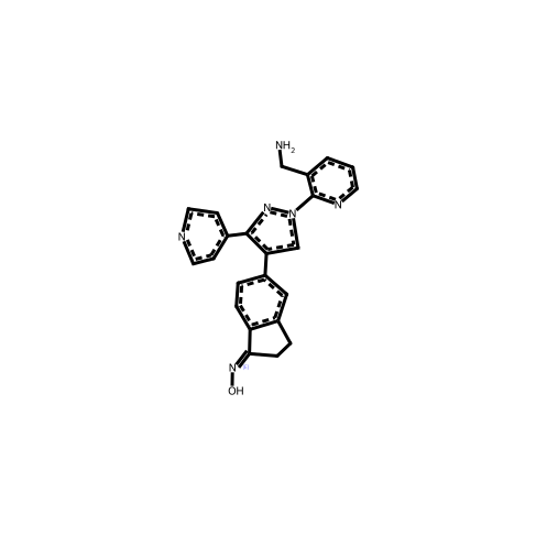 NCc1cccnc1-n1cc(-c2ccc3c(c2)CC/C3=N\O)c(-c2ccncc2)n1